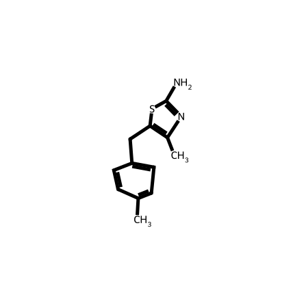 Cc1ccc(Cc2sc(N)nc2C)cc1